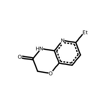 CCc1ccc2c(n1)NC(=O)CO2